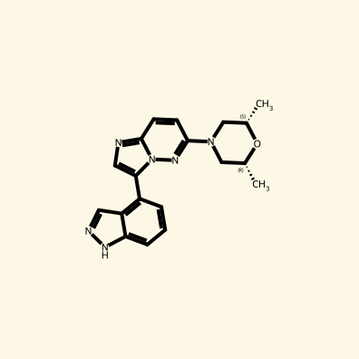 C[C@@H]1CN(c2ccc3ncc(-c4cccc5[nH]ncc45)n3n2)C[C@H](C)O1